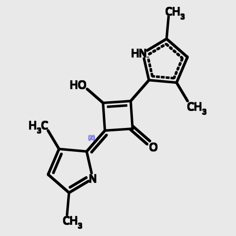 CC1=CC(C)=N/C1=C1\C(=O)C(c2[nH]c(C)cc2C)=C1O